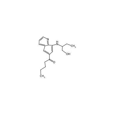 CCCCC(=O)c1cc(NC(CC)CO)c2ncccc2c1